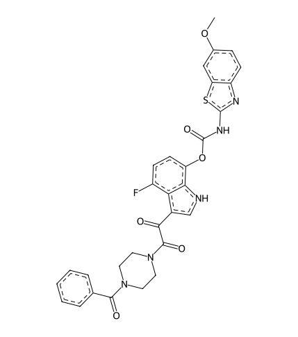 COc1ccc2nc(NC(=O)Oc3ccc(F)c4c(C(=O)C(=O)N5CCN(C(=O)c6ccccc6)CC5)c[nH]c34)sc2c1